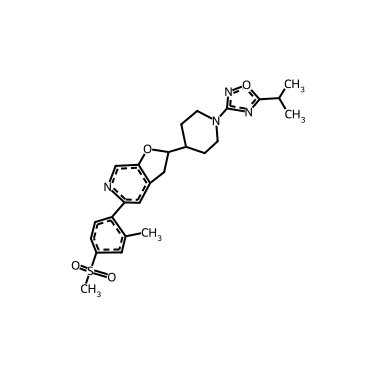 Cc1cc(S(C)(=O)=O)ccc1-c1cc2c(cn1)OC(C1CCN(c3noc(C(C)C)n3)CC1)C2